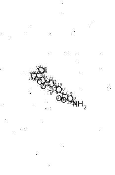 CC1(C)c2cc(-c3cc4ccc(N)cc4oc3=O)ccc2-c2ccc(-c3cc4c5ccccc5c5ccccc5c4oc3=O)cc21